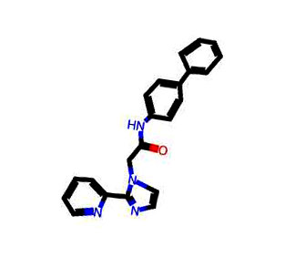 O=C(Cn1ccnc1-c1ccccn1)Nc1ccc(-c2ccccc2)cc1